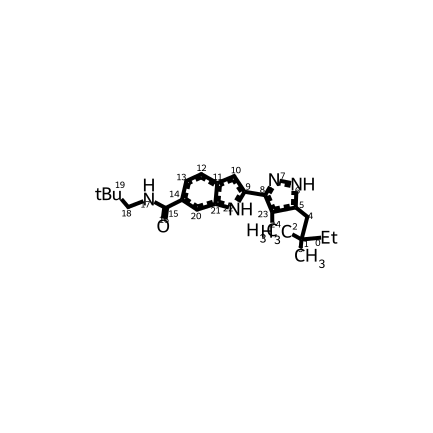 CCC(C)(C)Cc1[nH]nc(-c2cc3ccc(C(=O)NCC(C)(C)C)cc3[nH]2)c1C